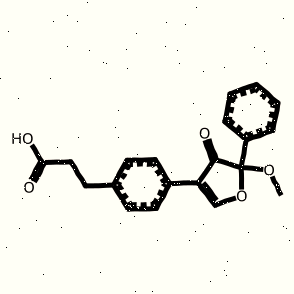 COC1(c2ccccc2)OC=C(c2ccc(CCC(=O)O)cc2)C1=O